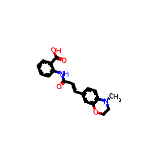 CN1CCOc2cc(C=CC(=O)Nc3ccccc3C(=O)O)ccc21